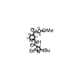 CCn1nc(C(C)(C)C)cc1C(=O)Nc1cc(C(=O)N2CC(OC)C2)ccn1